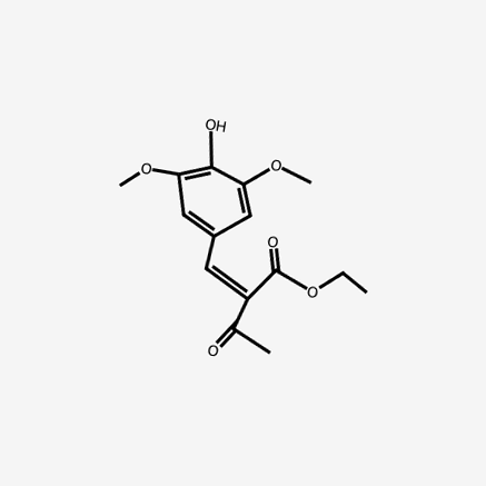 CCOC(=O)/C(=C\c1cc(OC)c(O)c(OC)c1)C(C)=O